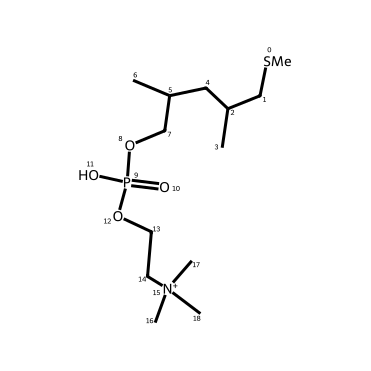 CSCC(C)CC(C)COP(=O)(O)OCC[N+](C)(C)C